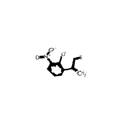 [CH2]C(CF)c1cccc([N+](=O)[O-])c1Cl